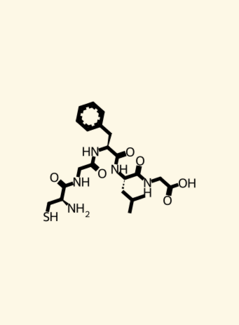 CC(C)C[C@H](NC(=O)[C@H](Cc1ccccc1)NC(=O)CNC(=O)[C@@H](N)CS)C(=O)NCC(=O)O